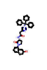 O=C(Cc1cn(C(c2ccccc2)(c2ccccc2)c2ccccc2)cn1)N[C@H]1CCN(c2cccc3ccc(O)cc23)C1=O